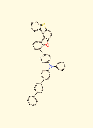 c1ccc(-c2ccc(-c3ccc(N(c4ccccc4)c4ccc(-c5cccc6c5oc5ccc7sc8ccccc8c7c56)cc4)cc3)cc2)cc1